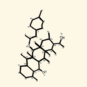 CC1CCC(CC(C)OC2C3(C)C(C)C4CCCC(C)C4C(O)C3C(C)C3(C)C(C)C(C(C)O)C(C)CC23C)CC1